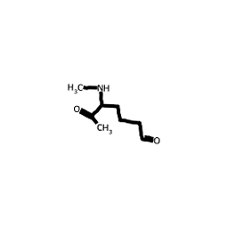 CNC(CCCC=O)C(C)=O